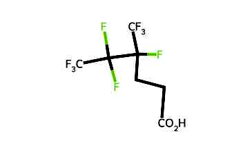 O=C(O)CCC(F)(C(F)(F)F)C(F)(F)C(F)(F)F